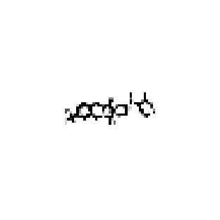 CC1COCCC1N[C@@H]1CC[C@@]2(C1)C(=O)N1Cc3cc(C(F)(F)F)ccc3CC1C2C